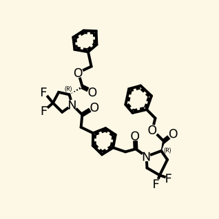 O=C(OCc1ccccc1)[C@H]1CC(F)(F)CN1C(=O)Cc1ccc(CC(=O)N2CC(F)(F)C[C@@H]2C(=O)OCc2ccccc2)cc1